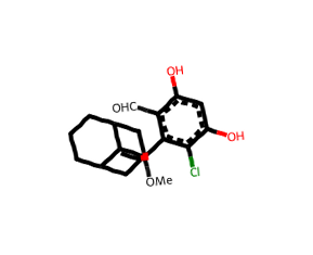 COC(=C1C2CCCC1CCC2)c1c(Cl)c(O)cc(O)c1C=O